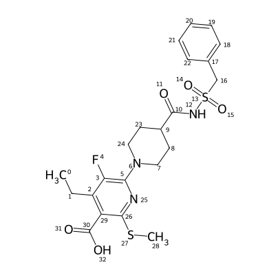 CCc1c(F)c(N2CCC(C(=O)NS(=O)(=O)Cc3ccccc3)CC2)nc(SC)c1C(=O)O